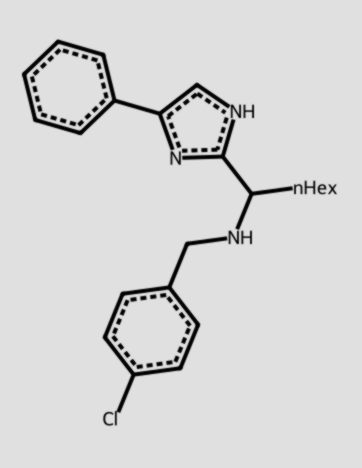 CCCCCCC(NCc1ccc(Cl)cc1)c1nc(-c2ccccc2)c[nH]1